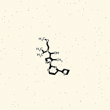 COCCN(C(C)C)C(O)c1cnn(-c2nccc(-c3cccs3)n2)c1C